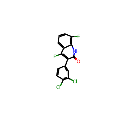 O=c1[nH]c2c(F)cccc2c(F)c1-c1ccc(Cl)c(Cl)c1